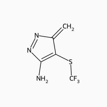 C=C1N=NC(N)=C1SC(F)(F)F